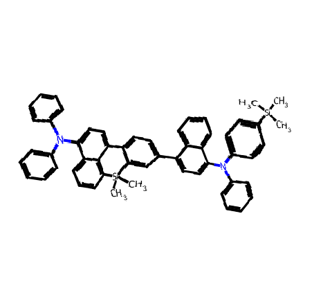 C[Si](C)(C)c1ccc(N(c2ccccc2)c2ccc(-c3ccc4c(c3)[Si](C)(C)c3cccc5c(N(c6ccccc6)c6ccccc6)ccc-4c35)c3ccccc23)cc1